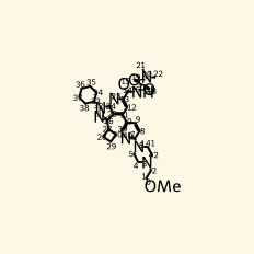 COCCN1CCN(c2ccc(-c3cc(C(=O)NS(=O)(=O)N(C)C)nc4c3c(C3CCC3)nn4C3CCCCC3)cn2)CC1